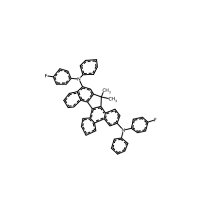 CC1(C)c2cc(N(c3ccccc3)c3ccc(F)cc3)c3ccccc3c2-c2c1c1ccc(N(c3ccccc3)c3ccc(F)cc3)cc1c1ccccc21